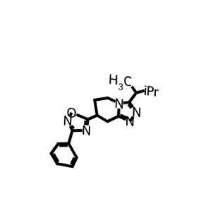 CC(C)C(C)c1nnc2n1CCC(c1nc(-c3ccccc3)no1)C2